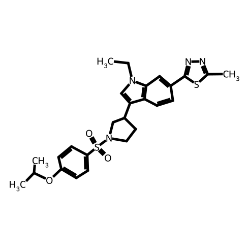 CCn1cc(C2CCN(S(=O)(=O)c3ccc(OC(C)C)cc3)C2)c2ccc(-c3nnc(C)s3)cc21